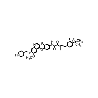 COc1cc2c(Oc3ccc(NC(=O)C(=O)NCCc4ccc(C(C)(C)C)cc4)cc3F)ccnc2cc1OCC1CCNCC1